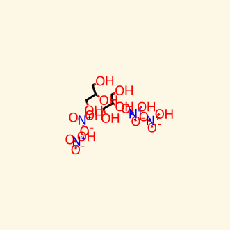 O=[N+]([O-])O.O=[N+]([O-])O.O=[N+]([O-])O.O=[N+]([O-])O.OCC(O)CO.OCC(O)CO